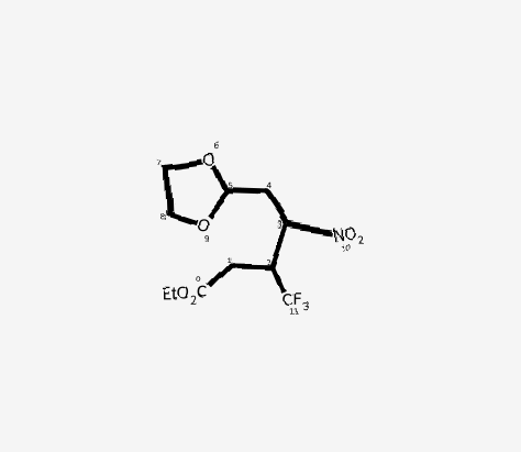 CCOC(=O)CC(C(CC1OCCO1)[N+](=O)[O-])C(F)(F)F